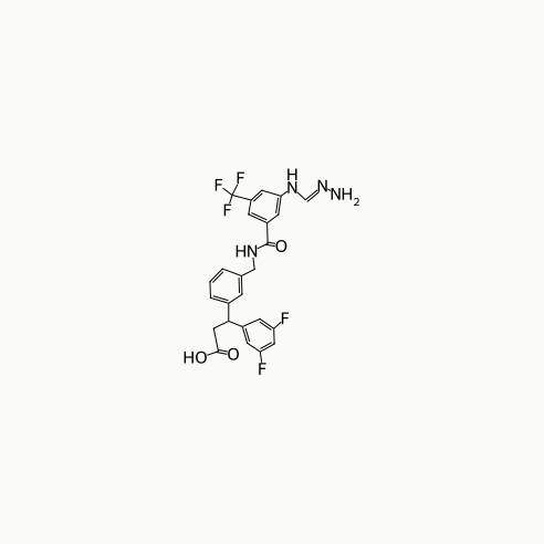 NN=CNc1cc(C(=O)NCc2cccc(C(CC(=O)O)c3cc(F)cc(F)c3)c2)cc(C(F)(F)F)c1